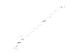 CCCCCCCC/C=C/CCCCCCCCOC(=O)/C=C/C1CC1